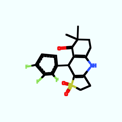 CC1(C)CCC2=C(C1=O)C(c1ccc(F)c(F)c1F)C1=C(CCS1(=O)=O)N2